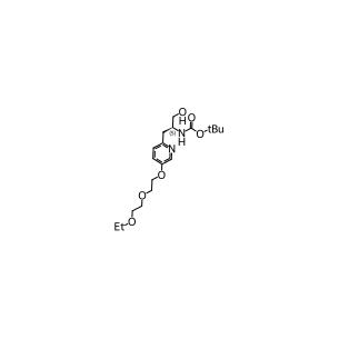 CCOCCOCCOc1ccc(C[C@@H](CO)NC(=O)OC(C)(C)C)nc1